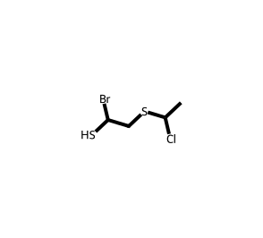 CC(Cl)SCC(S)Br